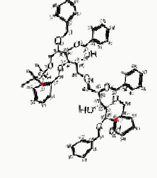 CC(C)(C)[Si](C)(C)OC[C@@H](OCc1ccccc1)[C@@H](OCc1ccccc1)[C@H](OCc1ccccc1)[C@H](O)COC[C@@H](OCc1ccccc1)[C@@H](O)[C@H](OCc1ccccc1)[C@@H](CO)OCc1ccccc1